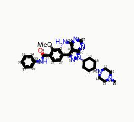 COc1cc(-c2nn([C@H]3CC[C@@H](N4CCN(C)CC4)CC3)c3ncnc(N)c23)ccc1C(=O)Nc1ccccc1